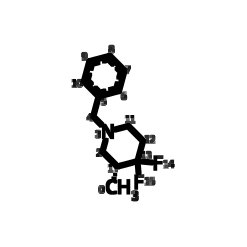 C[C@@H]1CN(Cc2ccccc2)CCC1(F)F